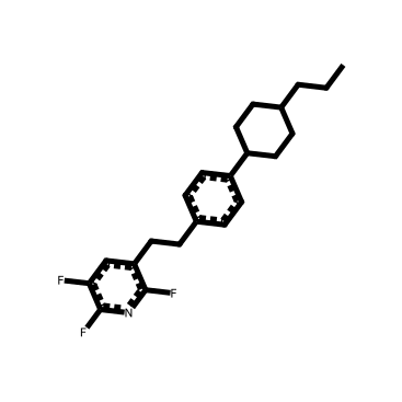 CCCC1CCC(c2ccc(CCc3cc(F)c(F)nc3F)cc2)CC1